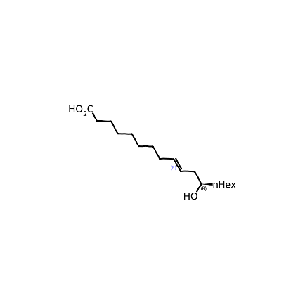 CCCCCC[C@@H](O)C/C=C/CCCCCCCC(=O)O